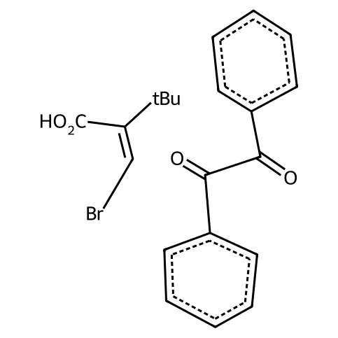 CC(C)(C)C(=CBr)C(=O)O.O=C(C(=O)c1ccccc1)c1ccccc1